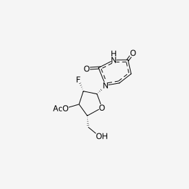 CC(=O)OC1[C@@H](CO)O[C@@H](n2ccc(=O)[nH]c2=O)[C@H]1F